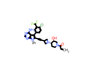 C=CC(=O)N1CC[C@H](N2CC(C#Cc3c(-c4ccc(Cl)c(C(F)F)c4)c4c(N)ncnc4n3C(C)C)C2)[C@H](O)C1